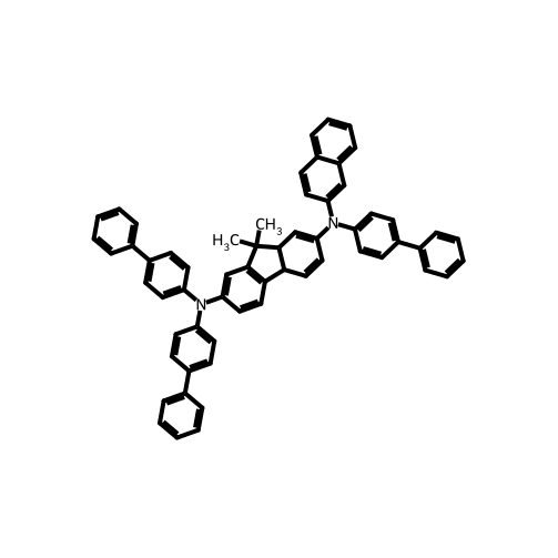 CC1(C)c2cc(N(c3ccc(-c4ccccc4)cc3)c3ccc(-c4ccccc4)cc3)ccc2C2C=CC(N(c3ccc(-c4ccccc4)cc3)c3ccc4ccccc4c3)=CC21